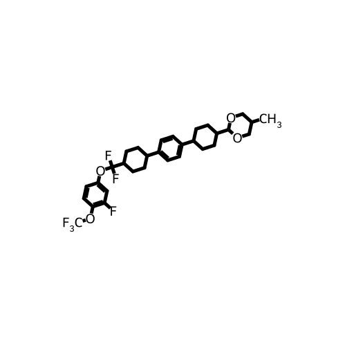 CC1COC(C2CCC(c3ccc(C4CCC(C(F)(F)Oc5ccc(OC(F)(F)F)c(F)c5)CC4)cc3)CC2)OC1